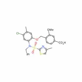 COc1cc(C(=O)O)ccc1COc1cc(C)c(Cl)cc1N(CC(C)C)S(=O)(=O)c1nc(C)cs1